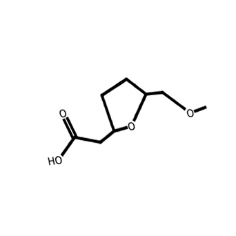 COCC1CCC(CC(=O)O)O1